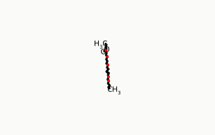 CCCCCCCCC=CCCCCCCCCCC(=O)OCCC